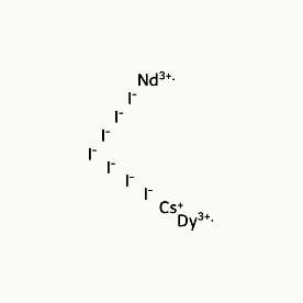 [Cs+].[Dy+3].[I-].[I-].[I-].[I-].[I-].[I-].[I-].[Nd+3]